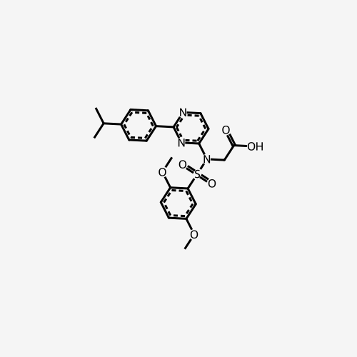 COc1ccc(OC)c(S(=O)(=O)N(CC(=O)O)c2ccnc(-c3ccc(C(C)C)cc3)n2)c1